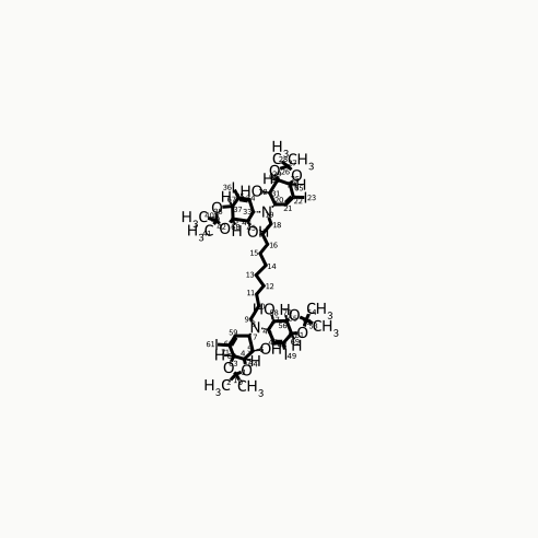 CC1(C)O[C@H]2[C@H](O)[C@@H](N(CCCCCCCCCCN([C@H]3C=C(I)[C@H]4OC(C)(C)O[C@H]4[C@@H]3O)[C@H]3C=C(I)[C@H]4OC(C)(C)O[C@H]4[C@@H]3O)[C@H]3C=C(I)[C@H]4OC(C)(C)O[C@H]4[C@@H]3O)C=C(I)[C@H]2O1